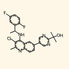 Cc1nc2ccc(-c3cnc(C(C)(C)O)nc3)cc2c(NC(C)c2cc(F)ccc2F)c1Cl